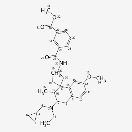 CCN(CC1CC1)C1Cc2ccc(OC)cc2C(CC)(CCNC(=O)c2cccc(C(=O)OC)c2)[C@H]1C